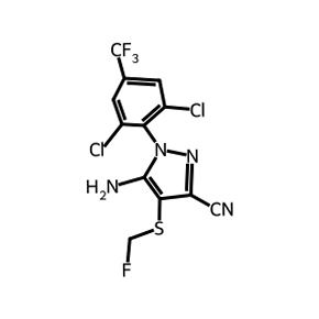 N#Cc1nn(-c2c(Cl)cc(C(F)(F)F)cc2Cl)c(N)c1SCF